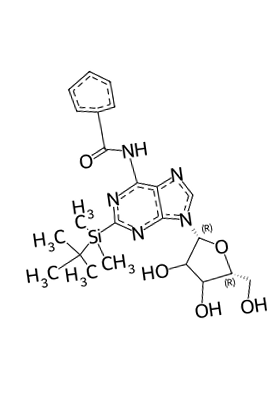 CC(C)(C)[Si](C)(C)c1nc(NC(=O)c2ccccc2)c2ncn([C@@H]3O[C@H](CO)C(O)C3O)c2n1